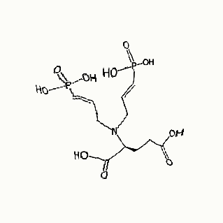 O=C(O)CC[C@@H](C(=O)O)N(CC=CP(=O)(O)O)CC=CP(=O)(O)O